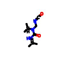 C[SiH](C)NC(=O)N(CN=C=O)[SiH](C)C